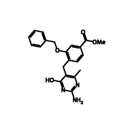 COC(=O)c1ccc(Cc2c(C)nc(N)nc2O)c(OCc2ccccc2)c1